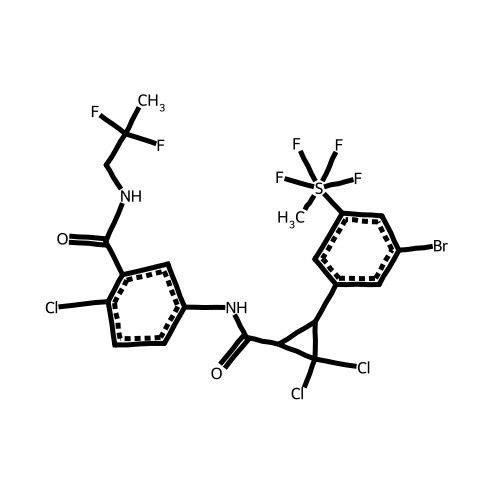 CC(F)(F)CNC(=O)c1cc(NC(=O)C2C(c3cc(Br)cc(S(C)(F)(F)(F)F)c3)C2(Cl)Cl)ccc1Cl